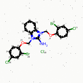 Nc1n(COc2ccc(Cl)cc2Br)c2ccccc2[n+]1COc1ccc(Cl)cc1Br.[Cl-]